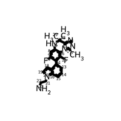 Cc1nnc2n1-c1c(cc(F)c(-c3cccc4c3ccn4CCN)c1F)NC2(C)C